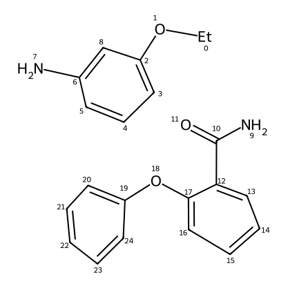 CCOc1cccc(N)c1.NC(=O)c1ccccc1Oc1ccccc1